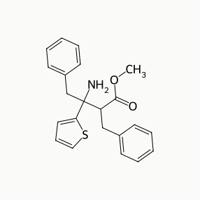 COC(=O)C(Cc1ccccc1)C(N)(Cc1ccccc1)c1cccs1